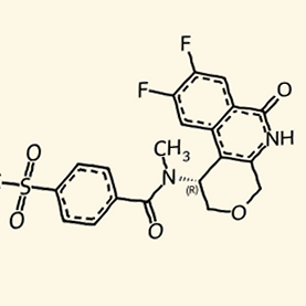 CN(C(=O)c1ccc(S(C)(=O)=O)cc1)[C@H]1COCc2[nH]c(=O)c3cc(F)c(F)cc3c21